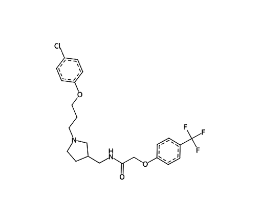 O=C(COc1ccc(C(F)(F)F)cc1)NCC1CCN(CCCOc2ccc(Cl)cc2)C1